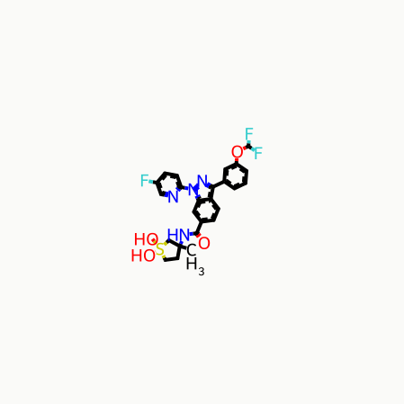 CC1(NC(=O)c2ccc3c(-c4cccc(OC(F)F)c4)nn(-c4ccc(F)cn4)c3c2)CCS(O)(O)C1